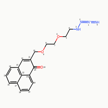 N=[N+]=NNCCOCCOCC1=Cc2cccc3cccc(c23)C1=O